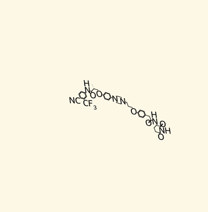 C[C@H](COc1ccc(N2CCN(CCCOc3ccc(CC(=O)NC4CCC(=O)NC4=O)cc3)CC2)cc1)C(=O)Nc1ccc(C#N)c(C(F)(F)F)c1